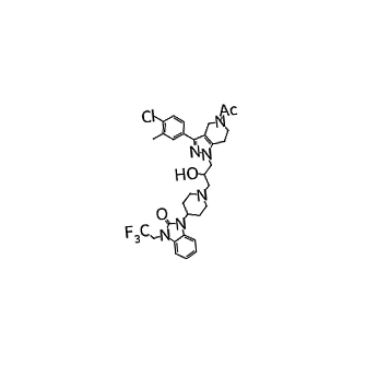 CC(=O)N1CCc2c(c(-c3ccc(Cl)c(C)c3)nn2CC(O)CN2CCC(n3c(=O)n(CC(F)(F)F)c4ccccc43)CC2)C1